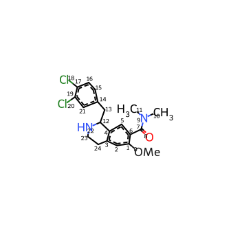 COc1cc2c(cc1C(=O)N(C)C)C(Cc1ccc(Cl)c(Cl)c1)NCC2